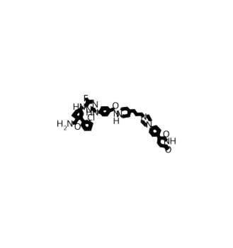 NC(=O)c1ccc(Nc2nc(Nc3ccc(C(=O)NN4CCC(CCCN5CCN(c6ccc(C7CCC(=O)NC7=O)cc6)CC5)CC4)cc3)ncc2F)cc1-c1ccccc1Cl